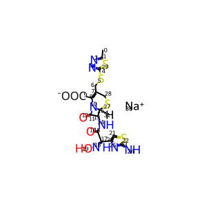 Cc1nnc(SCC2=C(C(=O)[O-])N3C(=O)C(NC(=O)/C(=N\O)c4csc(=N)[nH]4)[C@H]3SC2)s1.[Na+]